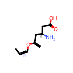 C=C(C[C@H](N)CC(=O)O)O/C=C\C